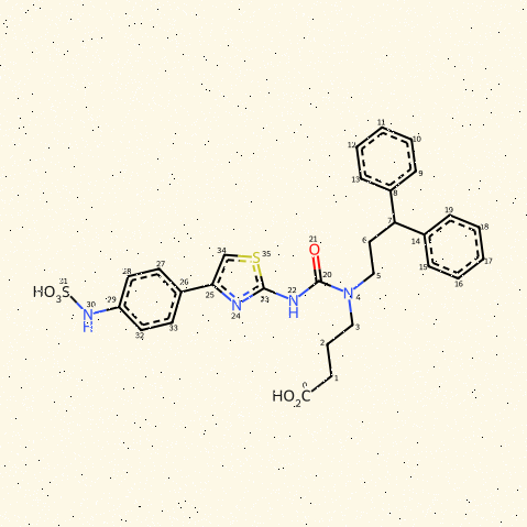 O=C(O)CCCN(CCC(c1ccccc1)c1ccccc1)C(=O)Nc1nc(-c2ccc(NS(=O)(=O)O)cc2)cs1